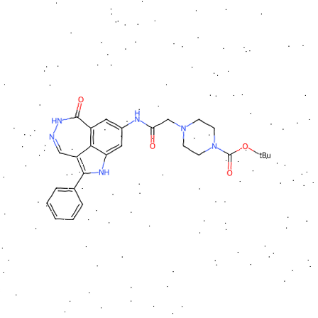 CC(C)(C)OC(=O)N1CCN(CC(=O)Nc2cc3c4c(c(-c5ccccc5)[nH]c4c2)C=NNC3=O)CC1